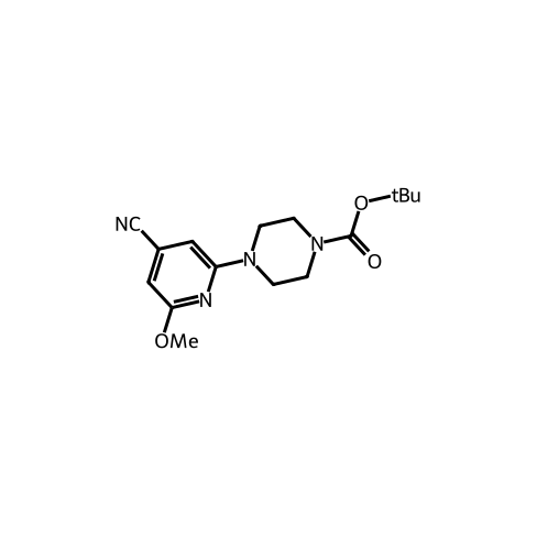 COc1cc(C#N)cc(N2CCN(C(=O)OC(C)(C)C)CC2)n1